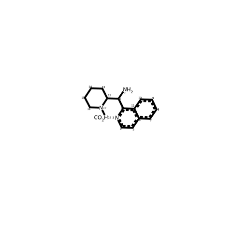 NC(c1nccc2ccccc12)C1CCCCN1C(=O)O